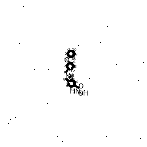 O=C(NO)c1ccc2cn(Cc3cccc(Oc4ccccc4)c3)nc2c1